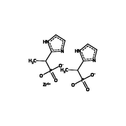 CC(c1ncc[nH]1)P(=O)([O-])[O-].CC(c1ncc[nH]1)P(=O)([O-])[O-].[Zr+4]